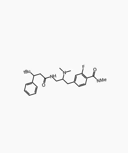 CNC(=O)c1ccc(CC(CNC(=O)CC(c2ccccc2)C(C)(C)C)N(C)C)cc1F